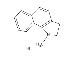 CN1CCc2ccc3ccccc3c21.I